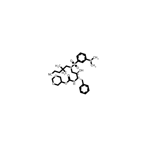 CN(C)c1cccc(S(=O)(=O)N(C[C@@H](O)[C@H](Cc2ccccc2)NC(=O)OC2COCOC2)CC(C)(C)CCC#N)c1